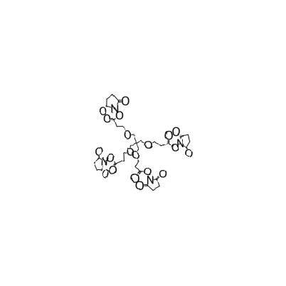 O=C(CCOCC(COCCC(=O)ON1C(=O)CCC1=O)(COCCC(=O)ON1C(=O)CCC1=O)COCCC(=O)ON1C(=O)CCC1=O)ON1C(=O)CCC1=O